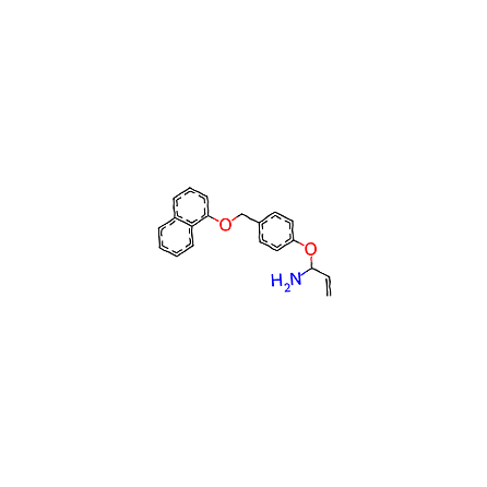 C=CC(N)Oc1ccc(COc2cccc3ccccc23)cc1